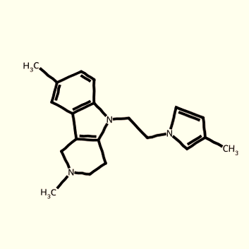 Cc1ccc2c(c1)c1c(n2CCn2ccc(C)c2)CCN(C)C1